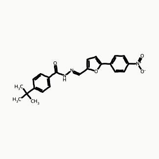 CC(C)(C)c1ccc(C(=O)N/N=C/c2ccc(-c3ccc([N+](=O)[O-])cc3)o2)cc1